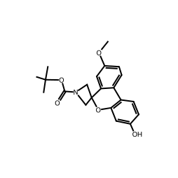 COc1ccc2c(c1)C1(CN(C(=O)OC(C)(C)C)C1)Oc1cc(O)ccc1-2